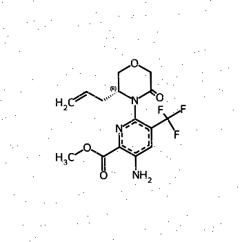 C=CC[C@@H]1COCC(=O)N1c1nc(C(=O)OC)c(N)cc1C(F)(F)F